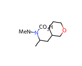 CNN(C(=O)O)C(C)CC1CCCOC1